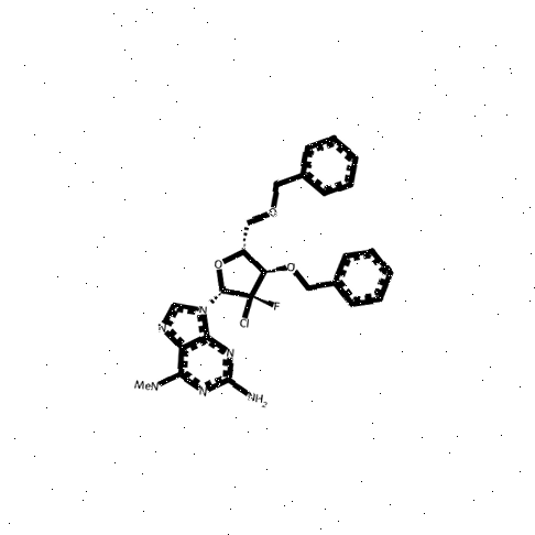 CNc1nc(N)nc2c1ncn2[C@@H]1O[C@H](COCc2ccccc2)[C@@H](OCc2ccccc2)[C@]1(F)Cl